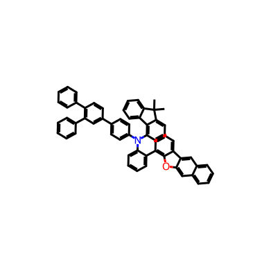 CC1(C)c2ccccc2-c2c(N(c3ccc(-c4ccc(-c5ccccc5)c(-c5ccccc5)c4)cc3)c3ccccc3-c3cccc4c3oc3cc5ccccc5cc34)cccc21